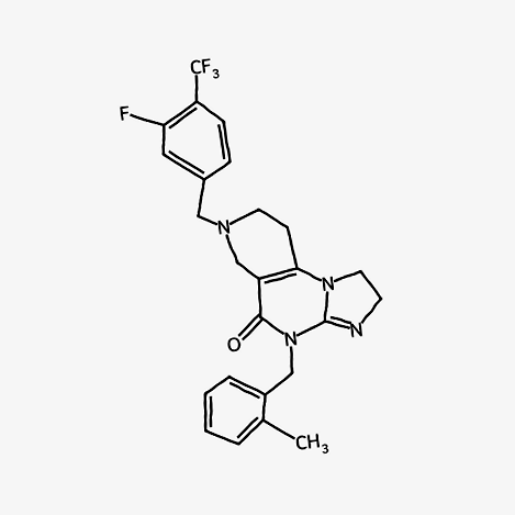 Cc1ccccc1CN1C(=O)C2=C(CCN(Cc3ccc(C(F)(F)F)c(F)c3)C2)N2CCN=C12